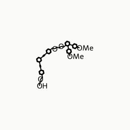 COc1ccc(-c2cccc(COCCOCc3ccc(C#Cc4cccc(C#Cc5ccc(COCCO)cc5)c4)cc3)c2-c2ccc(OC)cc2)cc1